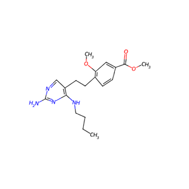 CCCCNc1nc(N)ncc1CCc1ccc(C(=O)OC)cc1OC